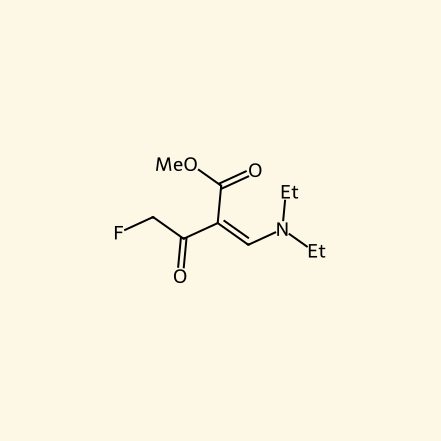 CCN(C=C(C(=O)CF)C(=O)OC)CC